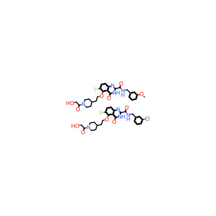 COc1cccc(CNC(=O)c2nc3ccc(F)c(OCCC4CCN(C(=O)CO)CC4)c3c(=O)[nH]2)c1.O=C(NCc1cccc(Cl)c1)c1nc2ccc(F)c(OCCC3CCN(C(=O)CO)CC3)c2c(=O)[nH]1